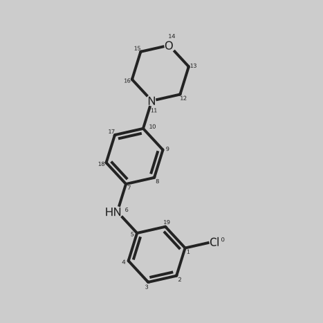 Clc1cccc(Nc2ccc(N3CCOCC3)cc2)c1